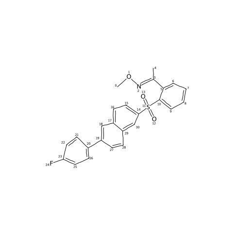 CON=C(C)c1ccccc1S(=O)(=O)c1ccc2cc(-c3ccc(F)cc3)ccc2c1